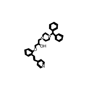 OC(COc1ccccc1C=Cc1ccncc1)CN1CCN(C(c2ccccc2)c2ccccc2)CC1